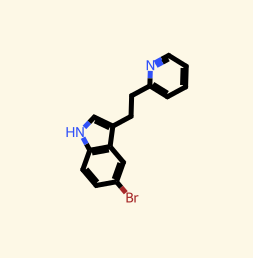 Brc1ccc2[nH]cc(CCc3ccccn3)c2c1